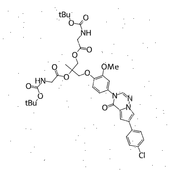 COc1cc(-n2cnn3cc(-c4ccc(Cl)cc4)cc3c2=O)ccc1OCC(C)(COC(=O)CNC(=O)OC(C)(C)C)OC(=O)CNC(=O)OC(C)(C)C